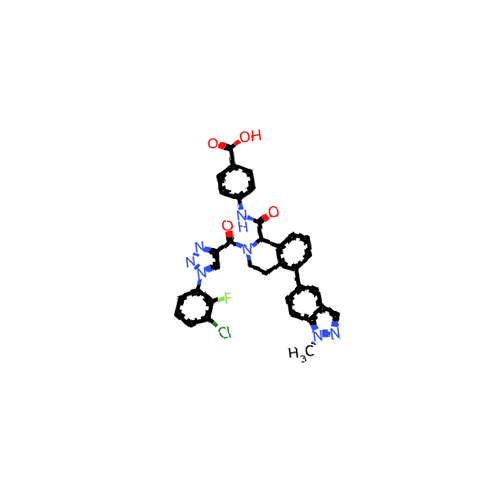 Cn1ncc2cc(-c3cccc4c3CCN(C(=O)c3cn(-c5cccc(Cl)c5F)nn3)C4C(=O)Nc3ccc(C(=O)O)cc3)ccc21